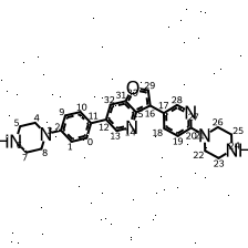 c1cc(N2CCNCC2)ccc1-c1cnc2c(-c3ccc(N4CCNCC4)nc3)coc2c1